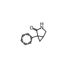 O=C1NCC2CC12c1ccccc1